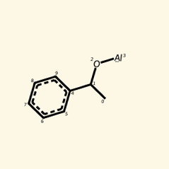 CC([O][Al])c1ccccc1